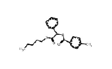 CCCCCOC(=O)C(OC(=O)c1ccc(C)cc1)c1ccccc1